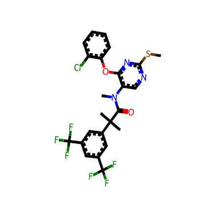 CSc1ncc(N(C)C(=O)C(C)(C)c2cc(C(F)(F)F)cc(C(F)(F)F)c2)c(Oc2ccccc2Cl)n1